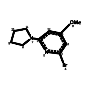 COc1cc(Br)nc(N2CCCC2)c1